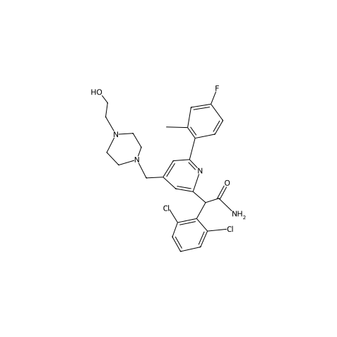 Cc1cc(F)ccc1-c1cc(CN2CCN(CCO)CC2)cc(C(C(N)=O)c2c(Cl)cccc2Cl)n1